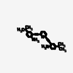 CC(C)c1ccc(N)c(C#Cc2cccc(C#Cc3cc(C(C)C)ccc3N)n2)c1